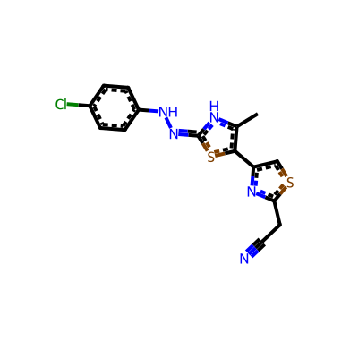 Cc1[nH]/c(=N\Nc2ccc(Cl)cc2)sc1-c1csc(CC#N)n1